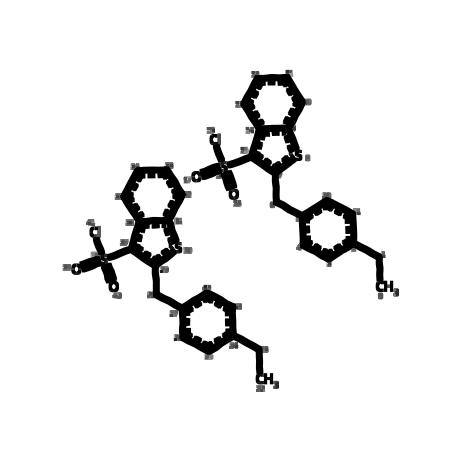 CCc1ccc(Cc2sc3ccccc3c2S(=O)(=O)Cl)cc1.CCc1ccc(Cc2sc3ccccc3c2S(=O)(=O)Cl)cc1